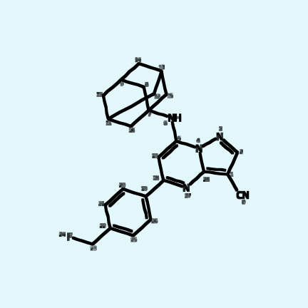 N#Cc1cnn2c(NC34CC5CC(CC(C5)C3)C4)cc(-c3ccc(CF)cc3)nc12